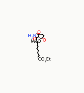 CCOC(=O)CCCCC/C=C/C[C@H]1O[C@]1(N)[C@H]1[C@H](OC)C(=O)CC[C@]12CO2